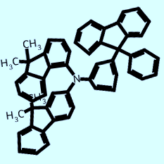 CC1(C)c2ccccc2-c2ccc(N(c3cccc(C4(c5ccccc5)c5ccccc5-c5ccccc54)c3)c3cccc4c3-c3ccccc3C4(C)C)cc21